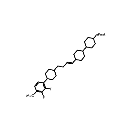 CCCCCC1CCC(C2CCC(/C=C/CCC3CCC(c4ccc(OC)c(F)c4F)CC3)CC2)CC1